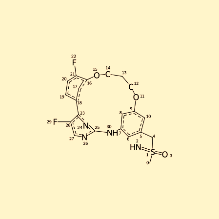 CS(=N)(=O)Cc1cc2cc(c1)OCCCOc1cc(ccc1F)-c1nc(ncc1F)N2